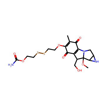 COC12C(CO)C3=C(C(=O)C(C)=C(OCCSSCCOC(N)=O)C3=O)N1CC1NC12